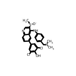 CN(C)Cc1ccc(Nc2c([S+](C)[O-])cnc3ccc(-c4cc(Cl)c(O)c(Cl)c4)cc23)cc1